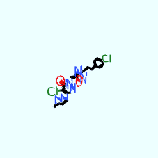 Cc1ccn(-c2cnn(Cc3nc(CCc4ccc(Cl)cc4)no3)c(=O)c2Cl)n1